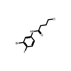 O=C(CCCCl)Nc1ccc(F)c(Br)c1